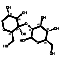 OC[C@H]1OC(O)[C@H](O[C@]2(O)[C@H](O)[C@@H](O)CO[C@@H]2CO)[C@@H](O)[C@@H]1O